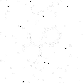 NC(=O)CCS.Sc1ccccn1